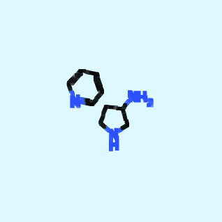 NC1CCNC1.c1ccncc1